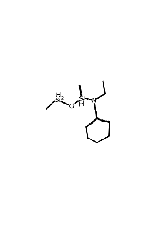 CCN(C1CCCCC1)[SiH](C)O[SiH2]C